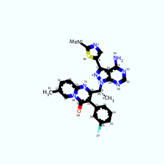 CNc1ncc(-c2nn([C@H](C)c3nc4ccc(C)cn4c(=O)c3-c3cccc(F)c3)c3ncnc(N)c23)s1